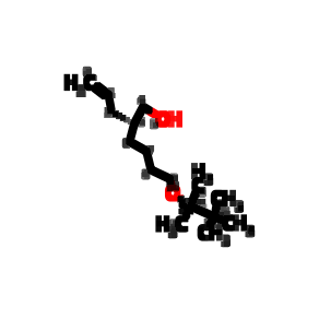 C=CC[C@H](CO)CCCCO[Si](C)(C)C(C)(C)C